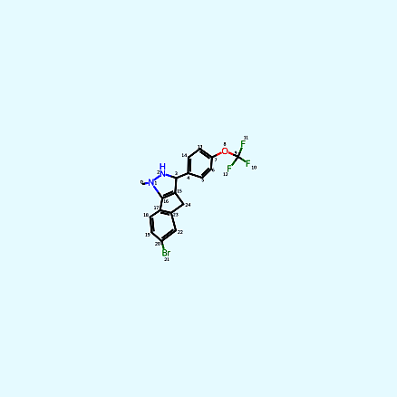 CN1NC(c2ccc(OC(F)(F)F)cc2)C2=C1c1ccc(Br)cc1C2